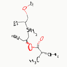 C=C(C)C(=O)OC(CCCC)[SiH2]C(CC)COCC